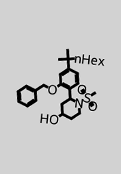 CCCCCCC(C)(C)c1ccc(C2CC(O)CCN2S(C)(=O)=O)c(OCc2ccccc2)c1